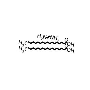 CCCCCCCCCCCCCCCCCC(=O)O.CCCCCCCCCCCCCCCCCC(=O)O.NCCN